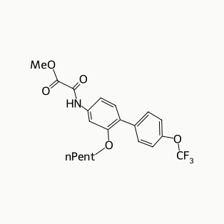 CCCCCOc1cc(NC(=O)C(=O)OC)ccc1-c1ccc(OC(F)(F)F)cc1